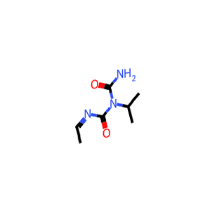 C/C=N\C(=O)N(C(N)=O)C(C)C